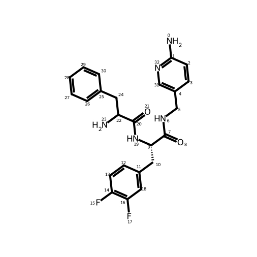 Nc1ccc(CNC(=O)[C@H](Cc2ccc(F)c(F)c2)NC(=O)C(N)Cc2ccccc2)cn1